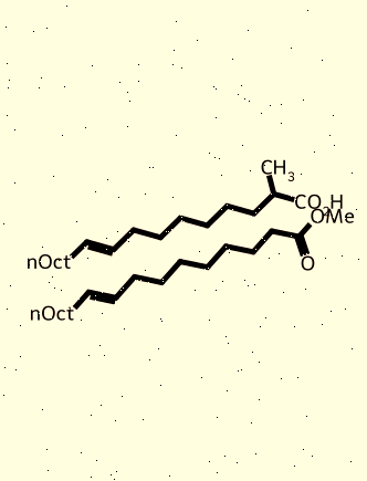 CCCCCCCCC=CCCCCCCC(C)C(=O)O.CCCCCCCCC=CCCCCCCCC(=O)OC